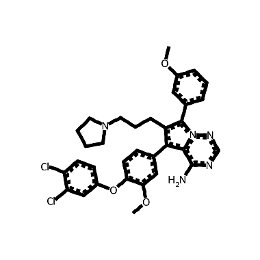 COc1cccc(-c2c(CCCN3CCCC3)c(-c3ccc(Oc4ccc(Cl)c(Cl)c4)c(OC)c3)c3c(N)ncnn23)c1